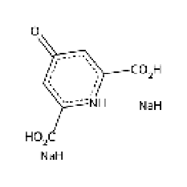 O=C(O)c1cc(=O)cc(C(=O)O)[nH]1.[NaH].[NaH]